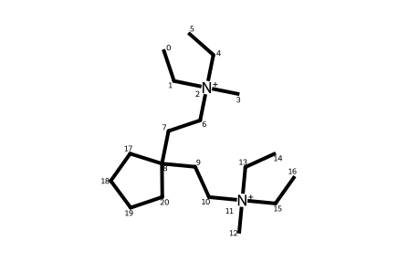 CC[N+](C)(CC)CCC1(CC[N+](C)(CC)CC)CCCC1